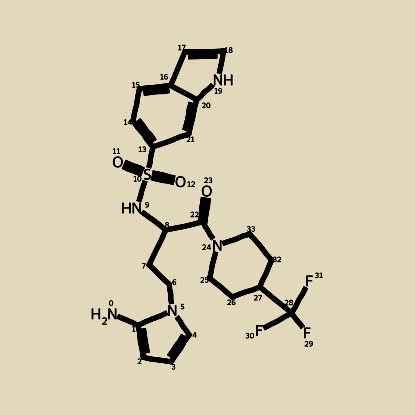 Nc1cccn1CCC(NS(=O)(=O)c1ccc2cc[nH]c2c1)C(=O)N1CCC(C(F)(F)F)CC1